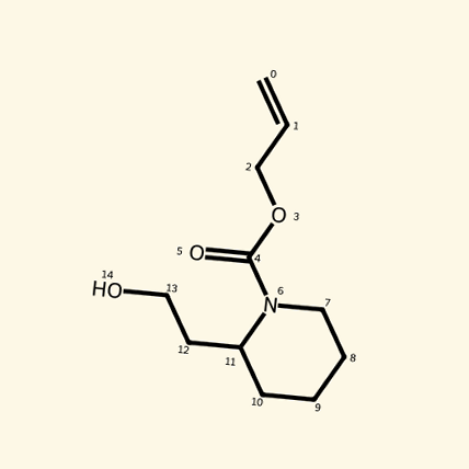 C=CCOC(=O)N1CCCCC1CCO